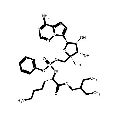 CCC(CC)COC(=O)[C@H](CCCCN)NP(=O)(OC[C@@]1(C)O[C@@H](c2ccc3c(N)ncnn23)[C@H](O)[C@@H]1O)Oc1ccccc1